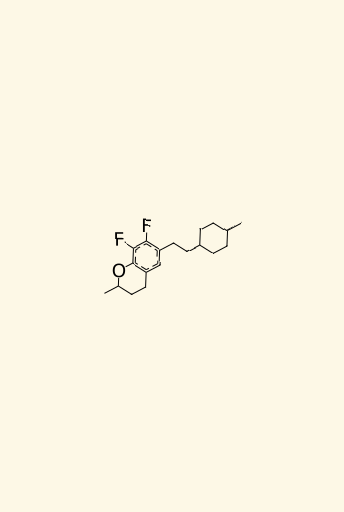 CC1CCC(CCc2cc3c(c(F)c2F)OC(C)CC3)CC1